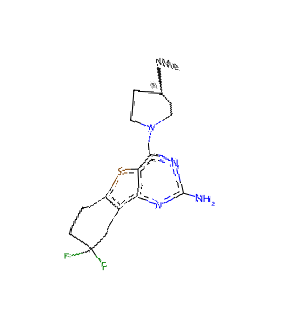 CN[C@@H]1CCN(c2nc(N)nc3c4c(sc23)CCC(F)(F)C4)C1